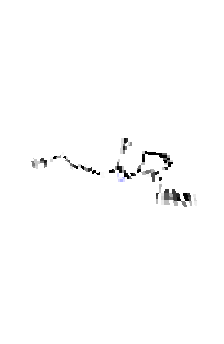 CCCCCCCCCN1C#CCC1/C=C(/CCCCC(C)C)C(C)C